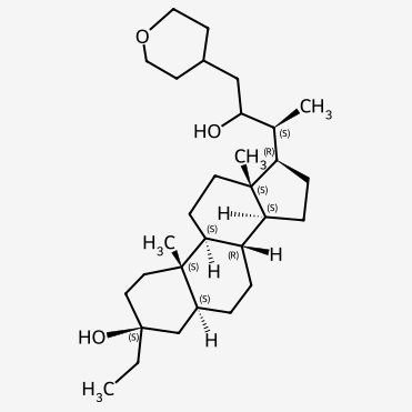 CC[C@]1(O)CC[C@@]2(C)[C@@H](CC[C@@H]3[C@@H]2CC[C@]2(C)[C@@H]([C@H](C)C(O)CC4CCOCC4)CC[C@@H]32)C1